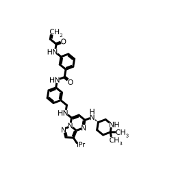 C=CC(=O)Nc1cccc(C(=O)Nc2cccc(CNc3cc(N[C@H]4CCC(C)(C)NC4)nc4c(C(C)C)cnn34)c2)c1